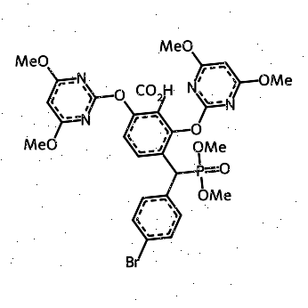 COc1cc(OC)nc(Oc2ccc(C(c3ccc(Br)cc3)P(=O)(OC)OC)c(Oc3nc(OC)cc(OC)n3)c2C(=O)O)n1